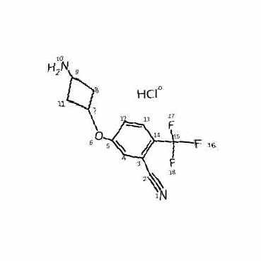 Cl.N#Cc1cc(OC2CC(N)C2)ccc1C(F)(F)F